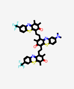 Cc1c2nc3cc(C(F)(F)F)ccc3sc-2c(CCc2c3nc4cc(N(C)C)ccc4sc-3c(CCc3c4nc5ccc(C(F)(F)F)cc5sc-4c(C)c(=O)c3C)c(=O)c2C)c(=O)c1C